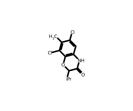 Cc1c(Cl)cc2c(c1Cl)OC(C(C)C)C(=O)N2